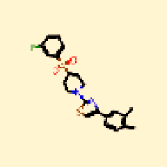 Cc1ccc(-c2csc(N3CCC(S(=O)(=O)c4cccc(F)c4)CC3)n2)cc1C